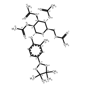 CC(=O)OC[C@H]1O[C@H](Oc2ccc(B3OC(C)(C)C(C)(C)O3)cc2C)[C@@H](OC(C)=O)[C@@H](OC(C)=O)[C@@H]1OC(C)=O